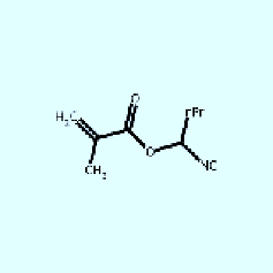 [C-]#[N+]C(CCC)OC(=O)C(=C)C